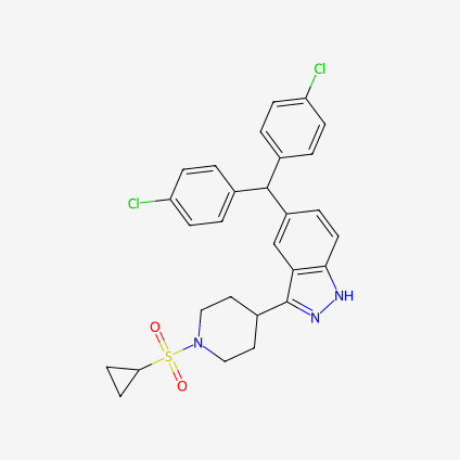 O=S(=O)(C1CC1)N1CCC(c2n[nH]c3ccc(C(c4ccc(Cl)cc4)c4ccc(Cl)cc4)cc23)CC1